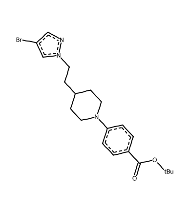 CC(C)(C)OC(=O)c1ccc(N2CCC(CCn3cc(Br)cn3)CC2)cc1